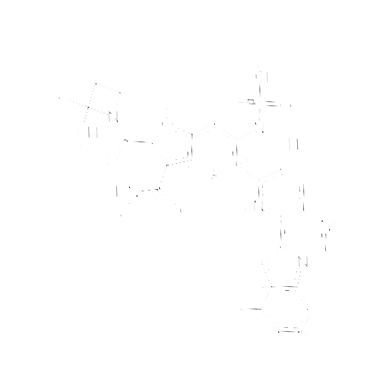 CNC(=O)c1c(C(=O)N2CCC2(C)C)oc2cc(N(C)S(C)(=O)=O)c(-c3ccc4ncn5c6cccc(F)c6cc5c4n3)cc12